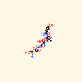 CN[C@H](C(=O)NC(C(=O)N(C)[C@H](/C=C(\C)C(=O)N[C@H](CCC(=O)NCCN1C(=O)CC(SC[C@H](N)C(=O)O)C1=O)C(=O)O)C(C)C)C(C)(C)C)C(C)(C)c1ccc(C(=O)O)cc1